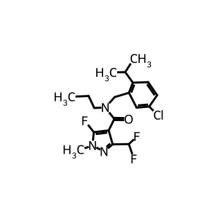 CCCN(Cc1cc(Cl)ccc1C(C)C)C(=O)c1c(C(F)F)nn(C)c1F